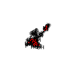 COC(=O)N[C@H](C(=O)N[C@@H](Cc1ccc(C#Cc2cnc(N3CC4CCC(C3)N4C3COC3)nc2)cc1)[C@H](CN(Cc1c(F)cc(-c2ccn(C(F)F)n2)cc1F)NC(=O)[C@@H](NC(=O)OC)C(C)(C)C(F)(F)F)OC(=O)CC(C)(C)c1c(CC(=O)N2CC[C@@H]2C(=O)OC)cc(C)cc1OP(=O)(O)O)C(C)(C)C(F)(F)F